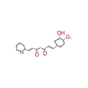 COc1ccc(C=CC(=O)CC(=O)C=Cc2ccccn2)cc1O